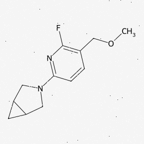 COCc1ccc(N2CC3CC3C2)nc1F